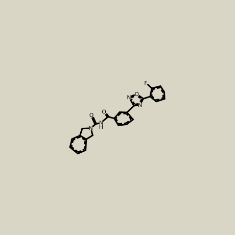 O=C(NC(=O)N1Cc2ccccc2C1)c1cccc(-c2noc(-c3ccccc3F)n2)c1